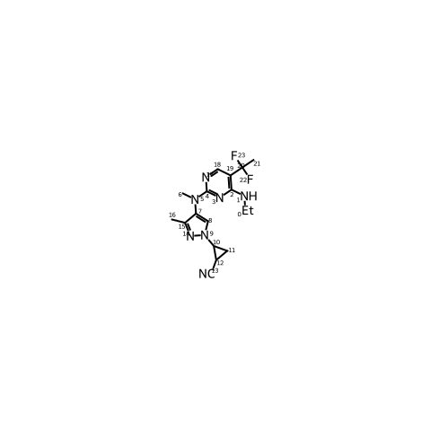 CCNc1nc(N(C)c2cn(C3CC3C#N)nc2C)ncc1C(C)(F)F